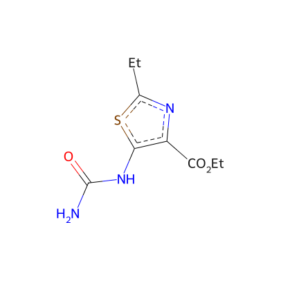 CCOC(=O)c1nc(CC)sc1NC(N)=O